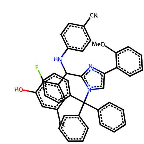 CCc1cc(O)c(F)c(C(Nc2ccc(C#N)cc2)c2nc(-c3ccccc3OC)cn2C(c2ccccc2)(c2ccccc2)c2ccccc2)c1